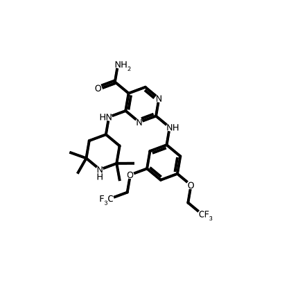 CC1(C)CC(Nc2nc(Nc3cc(OCC(F)(F)F)cc(OCC(F)(F)F)c3)ncc2C(N)=O)CC(C)(C)N1